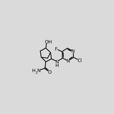 NC(=O)C1C2CC(O)C(C2)C1Nc1nc(Cl)ncc1F